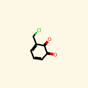 O=C1C=CC=C(CCl)C1=O